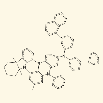 Cc1cc2c3c(c1)N1c4c(cccc4C4(C)CCCCC14C)B3c1ccc(N(c3cccc(-c4ccccc4)c3)c3cccc(-c4cccc5ccccc45)c3)cc1N2c1ccccc1